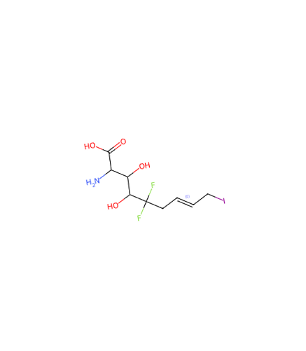 NC(C(=O)O)C(O)C(O)C(F)(F)C/C=C/CI